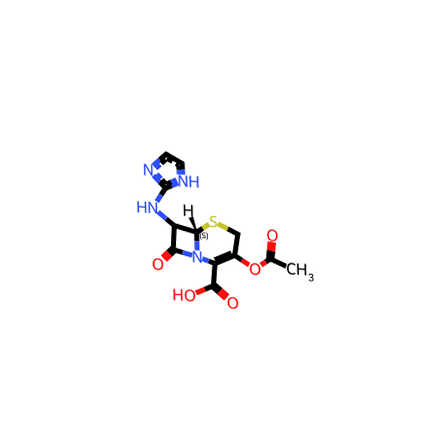 CC(=O)OC1=C(C(=O)O)N2C(=O)C(Nc3ncc[nH]3)[C@@H]2SC1